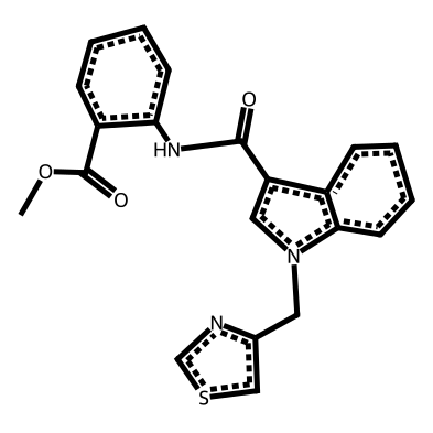 COC(=O)c1ccccc1NC(=O)c1cn(Cc2cscn2)c2ccccc12